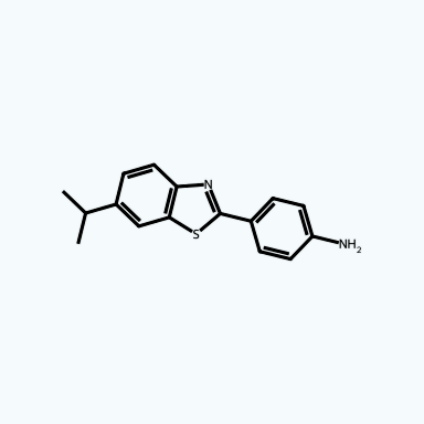 CC(C)c1ccc2nc(-c3ccc(N)cc3)sc2c1